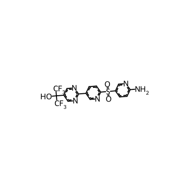 Nc1ccc(S(=O)(=O)c2ccc(-c3ncc(C(O)(C(F)(F)F)C(F)(F)F)cn3)cn2)cn1